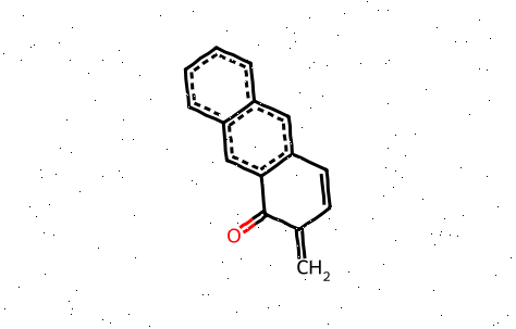 C=C1C=Cc2cc3ccccc3cc2C1=O